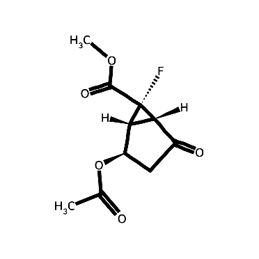 COC(=O)[C@]1(F)[C@@H]2[C@H]1C(=O)C[C@H]2OC(C)=O